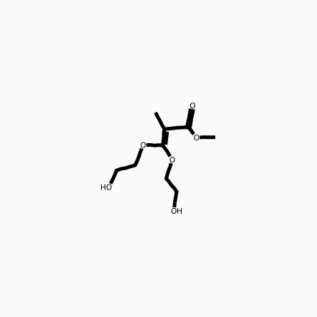 COC(=O)C(C)=C(OCCO)OCCO